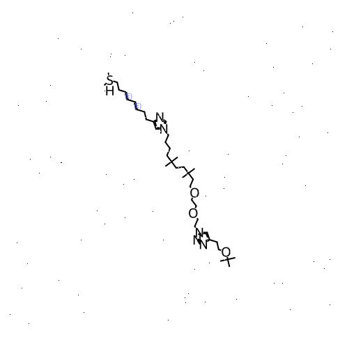 C[SH](C)CC/C=C/C=C/CCc1cn(CCCCC(C)(C)CCC(C)(C)CCOCCOCCn2cc(CCOC(C)(C)C)nn2)cn1